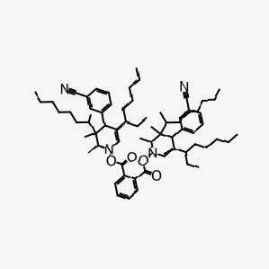 CCCCCCC(C)C1(C)C(c2cccc(C#N)c2)C(C(CC)CCCCC)=CN(OC(=O)c2ccccc2C(=O)ON2C=C(C(CC)CCCCC)C(c3cccc(C#N)c3)C(C)(C(C)CCCCCC)C2C)C1C